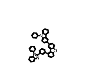 c1ccc(-n2c(-c3cccc(-c4cccc5oc6ccc(-c7ccc8c(c7)c7ccccc7n8-c7ccccc7)cc6c45)c3)nc3ccccc32)cc1